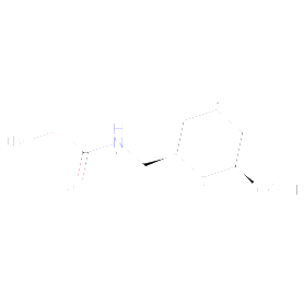 CC(C)(C)OC(=O)NC[C@H]1CCC[C@@H](C(=O)O)C1